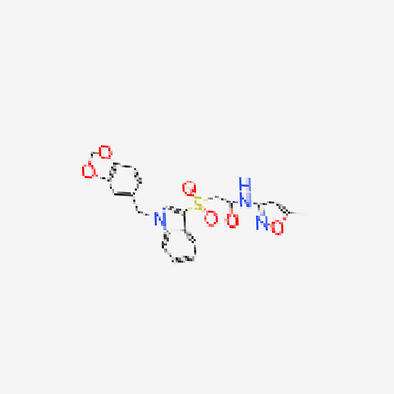 Cc1cc(NC(=O)CS(=O)(=O)c2cn(Cc3ccc4c(c3)OCO4)c3ccccc23)no1